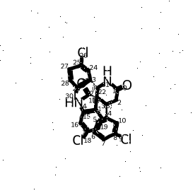 O=C1C[C@@H](c2cccc(Cl)c2)[C@]2(C(=O)Nc3cc(Cl)ccc32)[C@H](c2cc(Cl)ccc2I)N1